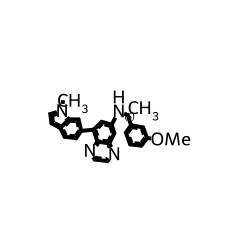 COc1cccc([C@H](C)Nc2cc(-c3ccc4ccn(C)c4c3)c3nccnc3c2)c1